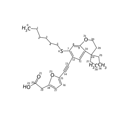 CCCCCCSc1cc2c(cc1C#Cc1ccc(CC(=O)O)o1)C(CC)(CC)CCO2